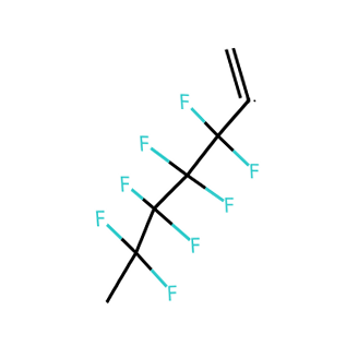 C=[C]C(F)(F)C(F)(F)C(F)(F)C(C)(F)F